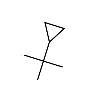 [CH2]C(C)(C)C1CC1